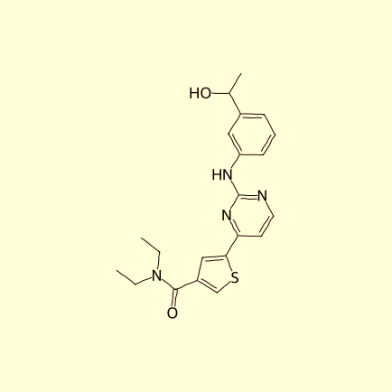 CCN(CC)C(=O)c1csc(-c2ccnc(Nc3cccc(C(C)O)c3)n2)c1